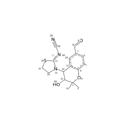 CC1(C)Oc2ccc(C=O)cc2C(N2CCS/C2=N\C#N)C1O